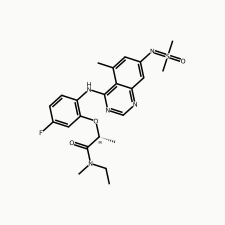 CCN(C)C(=O)[C@@H](C)Oc1cc(F)ccc1Nc1ncnc2cc(N=S(C)(C)=O)cc(C)c12